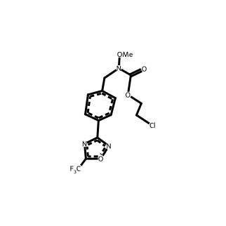 CON(Cc1ccc(-c2noc(C(F)(F)F)n2)cc1)C(=O)OCCCl